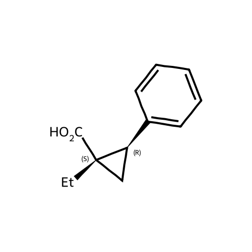 CC[C@]1(C(=O)O)C[C@@H]1c1ccccc1